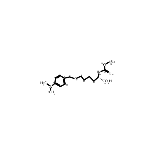 CN(C)c1ccc(CSCCCC[C@H](NC(=O)OC(C)(C)C)C(=O)O)cc1